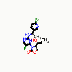 CC[C@@H](O)[C@H]1COC(=O)N1c1nc(N[C@@H](C)c2ccc(Br)nc2)ncc1F